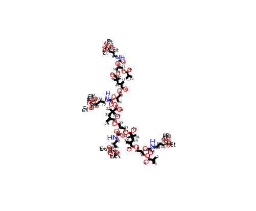 C=C(C)C(=O)OCC(COC(=O)C(=C)CC(C)(C)C(=O)OCC(COC(=O)C(=C)CC(C)(C)C(=O)OCC(COC(=O)C(=C)CC(C)(C)C(=O)OCC(COC(=O)C(=C)C)OC(=O)NCCC[Si](OCC)(OCC)OCC)OC(=O)NCCC[Si](OCC)(OCC)OCC)OC(=O)NCCC[Si](OCC)(OCC)OCC)OC(=O)NCCC[Si](OCC)(OCC)OCC